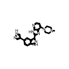 CN1CCN(c2ccnc3[nH]c(-c4n[nH]c5ccc(-c6cn[nH]c6)cc45)nc23)CC1